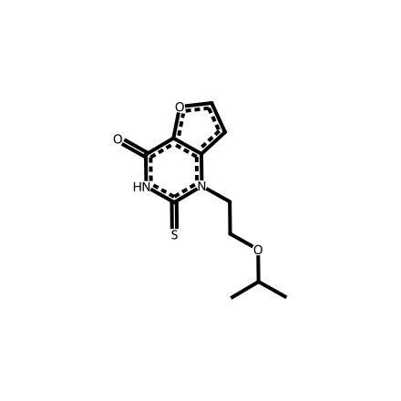 CC(C)OCCn1c(=S)[nH]c(=O)c2occc21